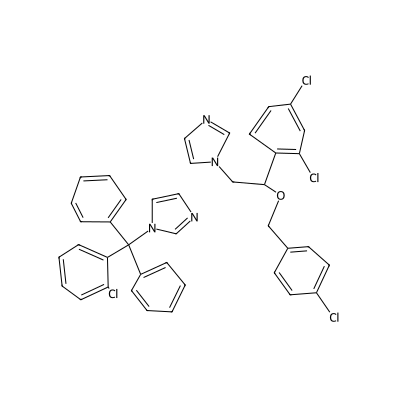 Clc1ccc(COC(Cn2ccnc2)c2ccc(Cl)cc2Cl)cc1.Clc1ccccc1C(c1ccccc1)(c1ccccc1)n1ccnc1